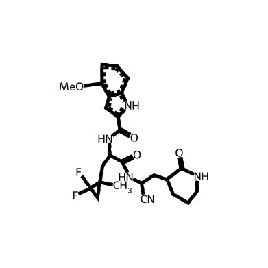 COc1cccc2[nH]c(C(=O)NC(CC3(C)CC3(F)F)C(=O)NC(C#N)CC3CCCNC3=O)cc12